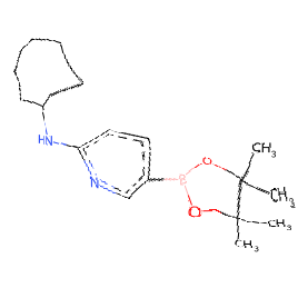 CC1(C)OB(c2ccc(NC3CCCCC3)nc2)OC1(C)C